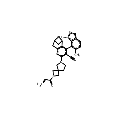 C=CC(=O)N1CC2(CCN(c3nc4c(c(-c5c(C)ccc6cnn(C)c56)c3C#N)C3CC(C4)C3)C2)C1